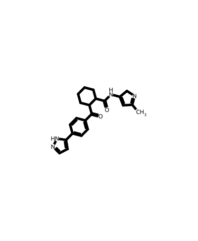 CC1=NCC(NC(=O)C2CCCCC2C(=O)c2ccc(-c3ccn[nH]3)cc2)=C1